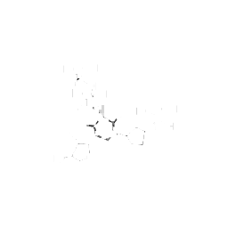 C[C@H]1O[C@@H](c2cn(C3CCCC3)c(=O)[nH]c2=O)[C@H](O)[C@@H]1O.O=P(O)(O)O.O=P(O)(O)O.O=P(O)(O)O